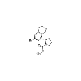 CC(C)(C)OC(=O)N1CCC[C@H]1c1cc(Br)cc2c1COCC2